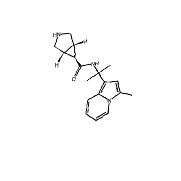 Cc1cc(C(C)(C)NC(=O)[C@H]2[C@@H]3CNC[C@@H]32)c2ccccn12